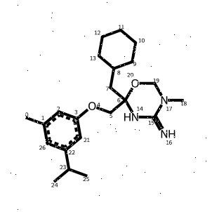 Cc1cc(OCC2(CC3CCCCC3)NC(=N)N(C)CO2)cc(C(C)C)c1